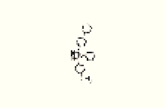 Cc1ccc(-c2nnc(-c3ccc(C4=CCCC=C4)cc3)n2-c2ccccc2)cc1